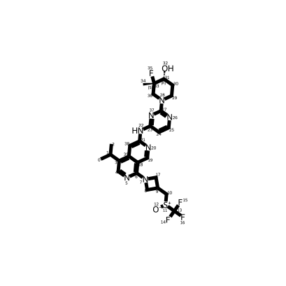 CC(C)c1cnc(N2CC(C[S+]([O-])C(F)(F)F)C2)c2cnc(Nc3ccnc(N4CC[C@@H](O)[C@@](C)(F)C4)n3)cc12